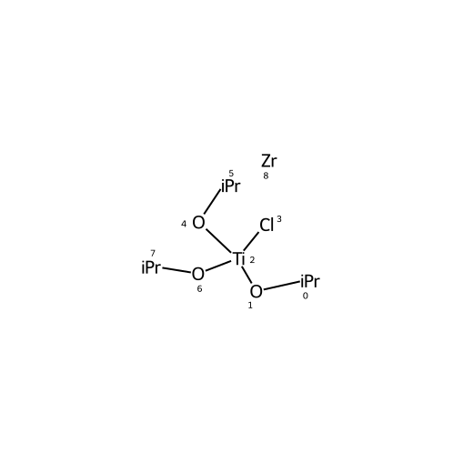 CC(C)[O][Ti]([Cl])([O]C(C)C)[O]C(C)C.[Zr]